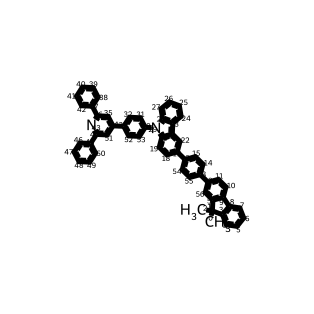 CC1(C)c2ccccc2-c2ccc(-c3ccc(-c4ccc5c(c4)c4ccccc4n5-c4ccc(-c5cc(-c6ccccc6)nc(-c6ccccc6)c5)cc4)cc3)cc21